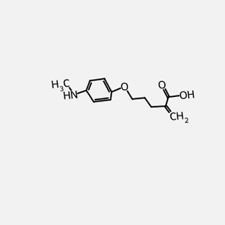 C=C(CCCOc1ccc(NC)cc1)C(=O)O